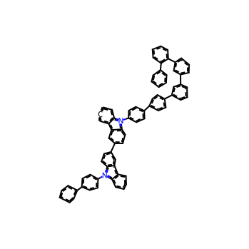 c1ccc(-c2ccc(-n3c4ccccc4c4cc(-c5ccc6c(c5)c5ccccc5n6-c5ccc(-c6ccc(-c7cccc(-c8cccc(-c9ccccc9-c9ccccc9)c8)c7)cc6)cc5)ccc43)cc2)cc1